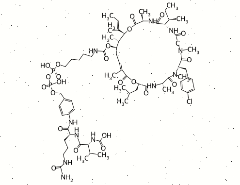 C/C=C(\C)[C@H]1OC(=O)[C@@H](C)NC(=O)[C@H]([C@H](C)CC)NC(=O)CN(C)C(=O)[C@@H](Cc2ccc(Cl)cc2)N(C)C(=O)[C@H](C)NC(=O)[C@@H](CC(C)C)OC(=O)/C(C)=C/C[C@@H](OC(=O)NCCCCCOP(=O)(O)OP(=O)(O)OCc2ccc(NC(=O)[C@H](CCCNC(N)=O)NC(=O)[C@H](NC(=O)O)C(C)C)cc2)[C@@H]1C